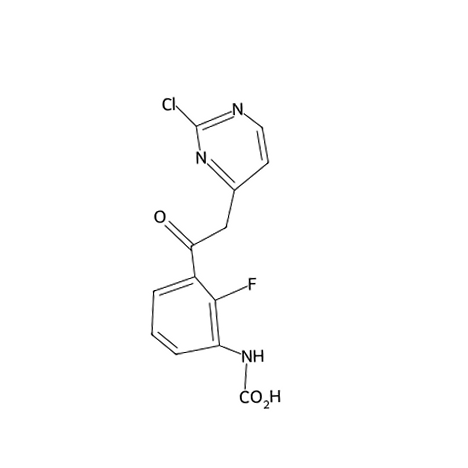 O=C(O)Nc1cccc(C(=O)Cc2ccnc(Cl)n2)c1F